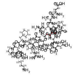 CCC(C)[C@H](NC(=O)C(CC1CCCCC1)NC(=O)[C@H](CCCNC(=N)N)NC(=O)[C@H](CC(C)C)NC(=O)[C@H](CCCNC(=N)N)NC(=O)[C@H](CO)NC(=O)[C@H](C)NC(=O)[C@H](CC(C)C)NC(=O)[C@H](CC(C)C)NC(=O)[C@H](C)NC(=O)I1CCCN1C(=O)[C@H](CCCNC(=N)N)NC(=O)[C@H](C)NC(=O)C(N)CCC(=O)O)C(=O)N1CCC[C@H]1C(=O)N[C@@H](CCCCN)C(=O)O